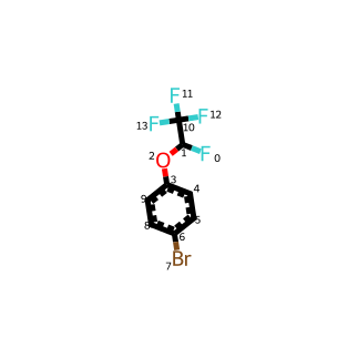 FC(Oc1ccc(Br)cc1)C(F)(F)F